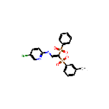 Cc1cccc(S(=O)(=O)C(=CNc2ccc(Br)cn2)S(=O)(=O)c2ccccc2)c1